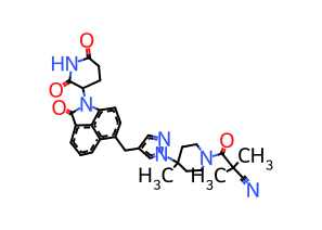 CC(C)(C#N)C(=O)N1CCC(C)(n2cc(Cc3ccc4c5c(cccc35)C(=O)N4C3CCC(=O)NC3=O)cn2)CC1